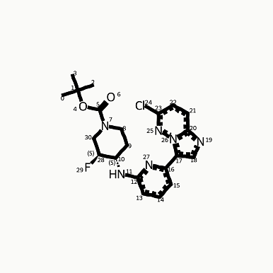 CC(C)(C)OC(=O)N1CC[C@H](Nc2cccc(-c3cnc4ccc(Cl)nn34)n2)[C@@H](F)C1